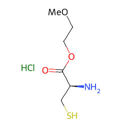 COCCOC(=O)[C@@H](N)CS.Cl